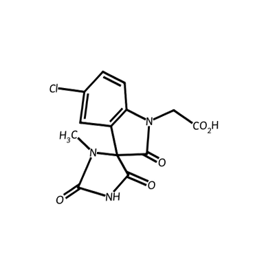 CN1C(=O)NC(=O)C12C(=O)N(CC(=O)O)c1ccc(Cl)cc12